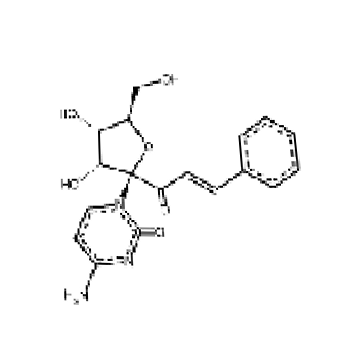 Nc1ccn([C@]2(C(=O)C=Cc3ccccc3)O[C@H](CO)[C@@H](O)[C@H]2O)c(=O)n1